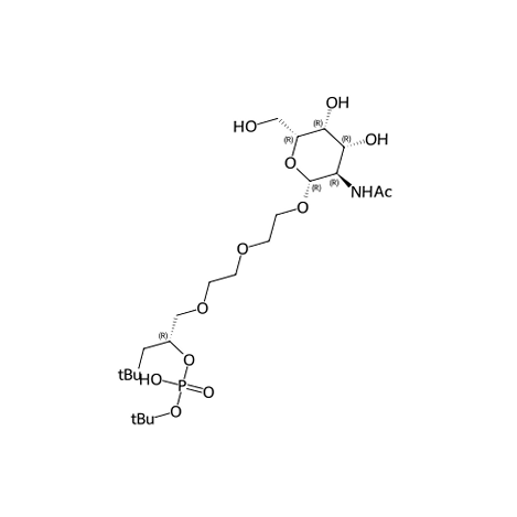 CC(=O)N[C@H]1[C@H](OCCOCCOC[C@@H](CC(C)(C)C)OP(=O)(O)OC(C)(C)C)O[C@H](CO)[C@H](O)[C@@H]1O